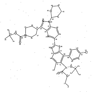 CCOC(=O)[C@@H](OC(C)(C)C)c1c(C)cc2nc(-c3ccc4c(n3)c(C3CCN(C(=O)OC(C)(C)C)CC3)nn4C3CCCCO3)sc2c1-c1ccc(Cl)cc1